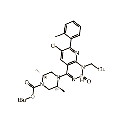 C[C@@H]1CN(C2=N[PH](=O)N(CC(C)(C)C)c3nc(-c4ccccc4F)c(Cl)cc32)[C@@H](C)CN1C(=O)OC(C)(C)C